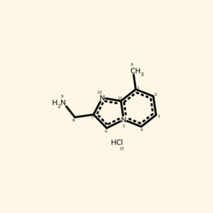 Cc1cccn2cc(CN)nc12.Cl